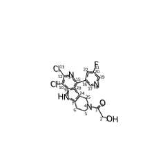 O=C(CO)N1CCc2[nH]c3c(Cl)c(Cl)nc(-c4cncc(F)c4)c3c2C1